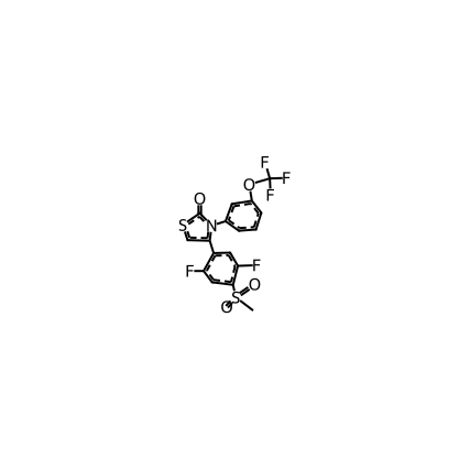 CS(=O)(=O)c1cc(F)c(-c2csc(=O)n2-c2cccc(OC(F)(F)F)c2)cc1F